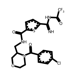 N=C(NC(=O)C(F)(F)F)c1ccc(C(=O)NCC2COCCN2C(=O)c2ccc(Cl)cc2)s1